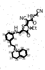 CCn1c(=C(C#N)C(=O)NCC#N)sc(=CNc2cccc(CCN3CCCc4ccccc43)c2)c1=O